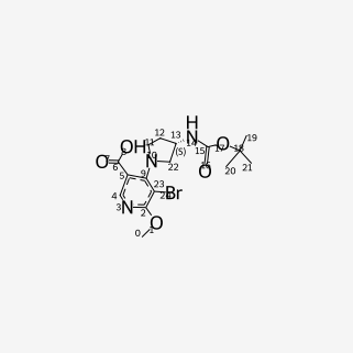 COc1ncc(C(=O)O)c(N2CC[C@H](NC(=O)OC(C)(C)C)C2)c1Br